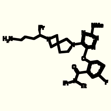 CCN(C(=O)c1cc(F)ccc1Oc1nnc(NC)nc1N1CCC2(C1)CN([C@H](CCCN)C(C)C)C2)C(C)C